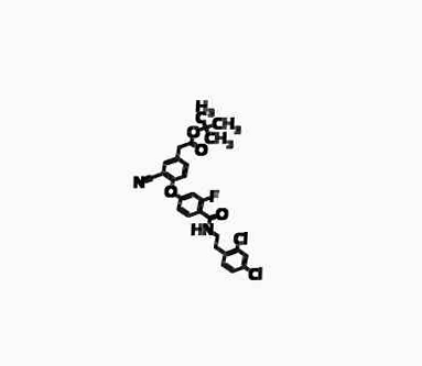 CC(C)(C)OC(=O)Cc1ccc(Oc2ccc(C(=O)NCCc3ccc(Cl)cc3Cl)c(F)c2)c(C#N)c1